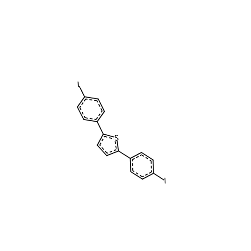 Ic1ccc(-c2ccc(-c3ccc(I)cc3)s2)cc1